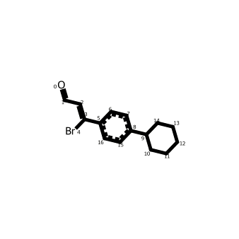 O=CC=C(Br)c1ccc(C2CCCCC2)cc1